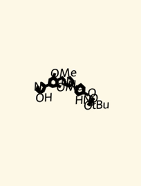 COc1cc(-c2cncc(O)c2)cc(OC)c1CN1CCN(c2ccc(C(=O)NS(=O)(=O)C(C)(C)C)cc2)CC1